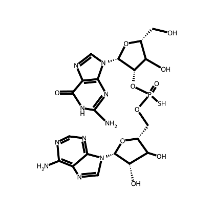 Nc1nc2c(ncn2[C@@H]2O[C@H](CO)C(O)[C@@H]2OP(=O)(S)OC[C@H]2O[C@@H](n3cnc4c(N)ncnc43)[C@@H](O)C2O)c(=O)[nH]1